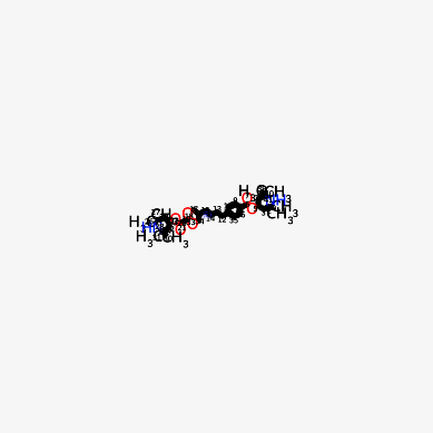 CC1(C)CC(OC(=O)c2ccc(CC/C=C/C3COC(C(=O)OC4CC(C)(C)NC(C)(C)C4)OC3)cc2)CC(C)(C)N1